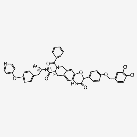 CC(=O)[C@H](Cc1ccc(Oc2ccncc2)cc1)NC(=O)[C@@H]1Cc2cc3c(cc2CN1C(=O)c1ccccc1)OC(c1ccc(OCc2ccc(Cl)c(Cl)c2)cc1)C(=O)N3